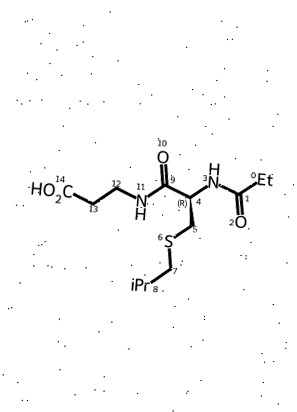 CCC(=O)N[C@@H](CSCC(C)C)C(=O)NCCC(=O)O